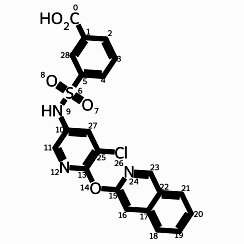 O=C(O)c1cccc(S(=O)(=O)Nc2cnc(Oc3cc4ccccc4cn3)c(Cl)c2)c1